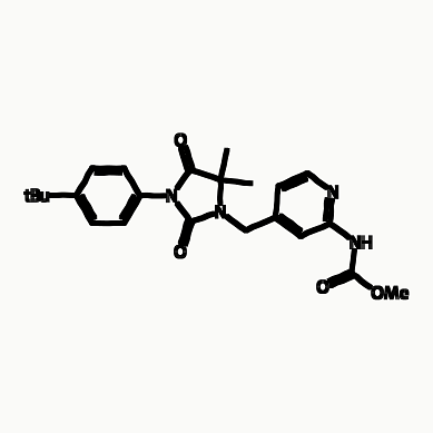 COC(=O)Nc1cc(CN2C(=O)N(c3ccc(C(C)(C)C)cc3)C(=O)C2(C)C)ccn1